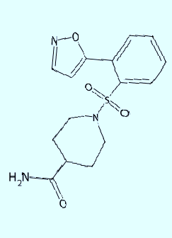 NC(=O)C1CCN(S(=O)(=O)c2ccccc2-c2ccno2)CC1